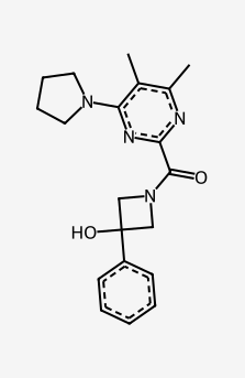 Cc1nc(C(=O)N2CC(O)(c3ccccc3)C2)nc(N2CCCC2)c1C